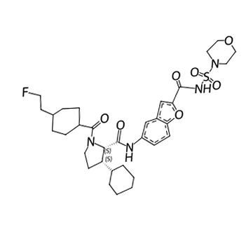 O=C(NS(=O)(=O)N1CCOCC1)c1cc2cc(NC(=O)[C@@H]3[C@H](C4CCCCC4)CCN3C(=O)C3CCC(CCF)CC3)ccc2o1